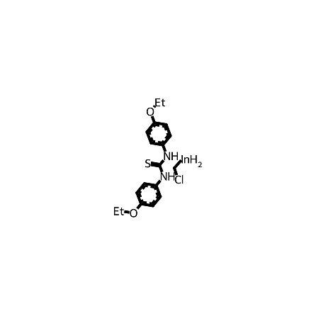 CCOc1ccc(NC(=S)Nc2ccc(OCC)cc2)cc1.Cl[CH2][InH2]